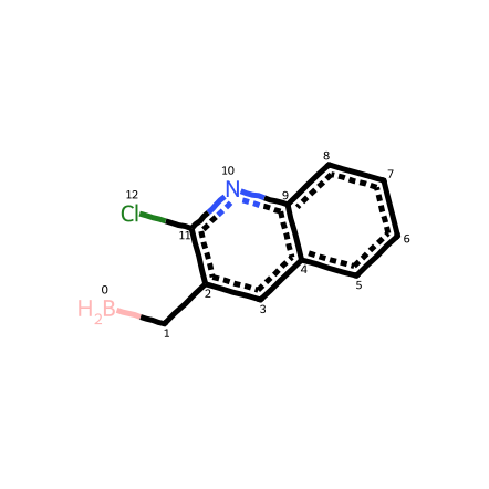 BCc1cc2ccccc2nc1Cl